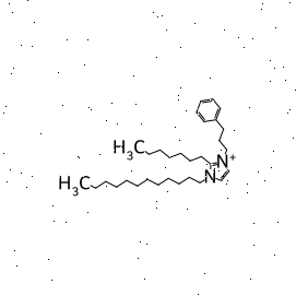 CCCCCCCCCCCCn1cc[n+](CCCc2ccccc2)c1CCCCCCC